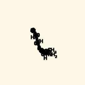 COC(=O)[C@@H](CN)NS(=O)(=O)c1ccc(OCCCC(=O)NCCNC(=O)OCc2ccccc2)cc1